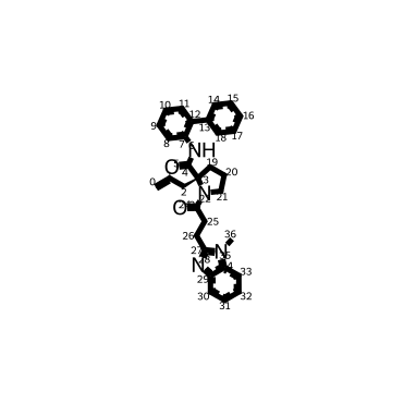 C=CC[C@@]1(C(=O)Nc2ccccc2-c2ccccc2)CCCN1C(=O)CCc1nc2ccccc2n1C